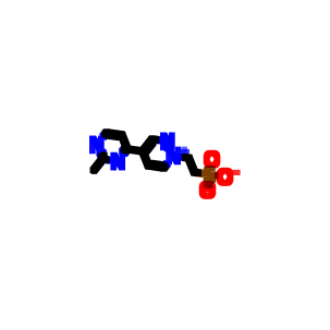 Cc1nccc(-c2cc[n+](CCS(=O)(=O)[O-])nc2)n1